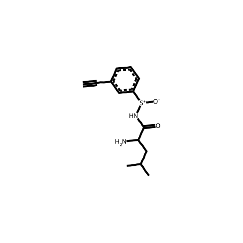 C#Cc1cccc([S+]([O-])NC(=O)C(N)CC(C)C)c1